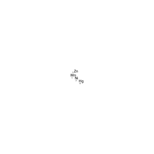 [Hg].[Mn].[Ni].[Zn]